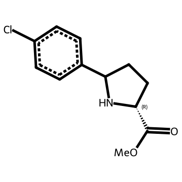 COC(=O)[C@H]1CCC(c2ccc(Cl)cc2)N1